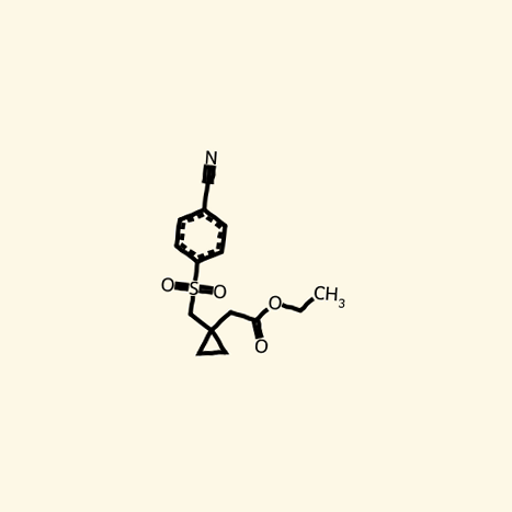 CCOC(=O)CC1(CS(=O)(=O)c2ccc(C#N)cc2)CC1